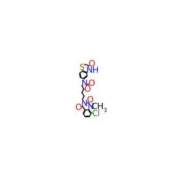 Cn1c(=O)n(CCCC2CN(c3ccc4c(c3)NC(=O)CS4)C(=O)O2)c(=O)c2cccc(Cl)c21